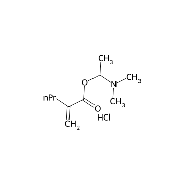 C=C(CCC)C(=O)OC(C)N(C)C.Cl